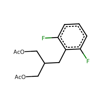 CC(=O)OCC(COC(C)=O)Cc1c(F)cccc1F